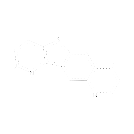 c1cnc2cc3c(cc2c1)sc1cccnc13